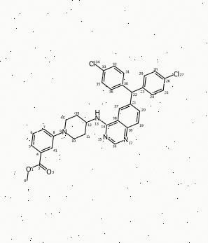 COC(=O)c1cccc(N2CCC(Nc3ncnc4ccc(C(c5ccc(Cl)cc5)c5ccc(Cl)cc5)cc34)CC2)c1